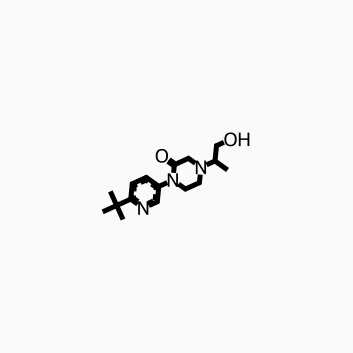 CC(CO)N1CCN(c2ccc(C(C)(C)C)nc2)C(=O)C1